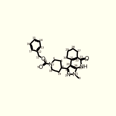 Cn1nc(C2CCN(C(=O)OCc3ccccc3)CC2)c2c3c(c(=O)[nH]c21)CCCC3